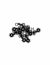 O=C(NC[C@H]1C=C[C@@H](NC(=O)OCc2ccccc2)[C@@H](O[C@H]2[C@@H](O)[C@H](O[C@@H]3[C@@H](O)[C@H](NS(=O)(=O)CCCCl)C[C@H](NC(=O)OCc4ccccc4)[C@H]3O[C@H]3O[C@H](CNC(=O)OCc4ccccc4)C=C[C@H]3NC(=O)OCc3ccccc3)O[C@@H]2CO)O1)OCc1ccccc1